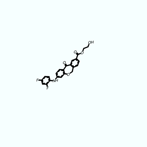 O=C(OCCO)c1ccc2c(c1)C(=O)c1ccc(Nc3ccc(F)cc3F)cc1OC2